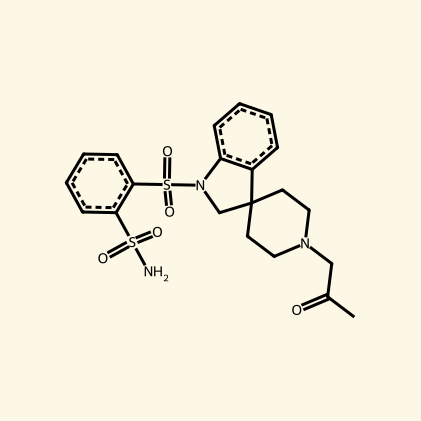 CC(=O)CN1CCC2(CC1)CN(S(=O)(=O)c1ccccc1S(N)(=O)=O)c1ccccc12